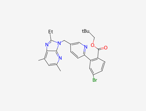 CCc1nc2c(C)cc(C)nc2n1Cc1ccc(-c2cc(Br)ccc2C(=O)OCC(C)(C)C)nc1